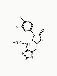 O=C(O)Nc1nsnc1C[C@@H]1CN(c2ccc(I)c(F)c2)C(=O)O1